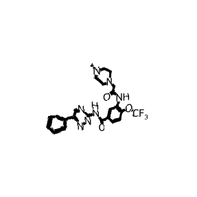 CN1CCN(CC(=O)Nc2cc(C(=O)Nc3ncc(-c4ccccc4)nn3)ccc2OC(F)(F)F)CC1